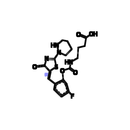 O=C(O)CCCNC(=O)Oc1cc(F)ccc1/C=C1\SC(N2CCCCN2)=NC1=O